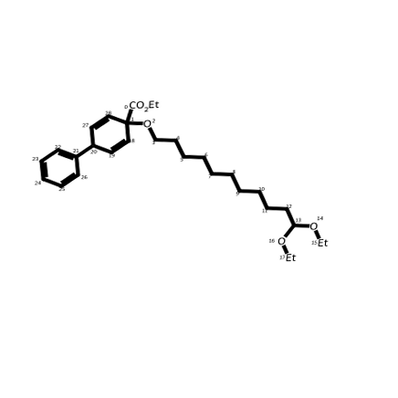 CCOC(=O)C1(OCCCCCCCCCCC(OCC)OCC)C=CC(c2ccccc2)C=C1